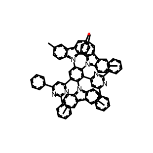 Cc1ccc2c(c1)c1cc(C)ccc1n2-c1cc(-c2cc(-c3ccccc3)nc(-c3ccccc3)n2)c(-n2c3ccc(C)cc3c3cc(C)ccc32)c(-c2cc(-c3ccccc3)nc(-c3ccccc3)n2)c1-n1c2ccc(C)cc2c2cc(C)ccc21